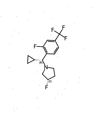 Fc1cc(C(F)(F)F)ccc1[C@@H](C1CC1)N1CC[C@H](F)C1